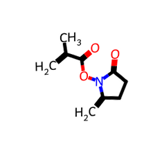 C=C(C)C(=O)ON1C(=C)CCC1=O